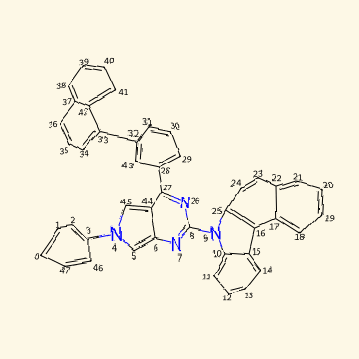 c1ccc(-n2cc3nc(-n4c5ccccc5c5c6ccccc6ccc54)nc(-c4cccc(-c5cccc6ccccc56)c4)c3c2)cc1